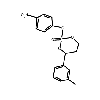 O=[N+]([O-])c1ccc(OP2(=O)OCCC(c3cccc(F)c3)O2)cc1